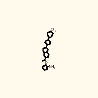 C=C(Oc1ccccc1N)c1ccc2cc(-c3ccc(-c4ccc(C(F)(F)F)cc4)cc3)ccc2c1